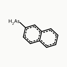 [AsH2]c1ccc2ccccc2c1